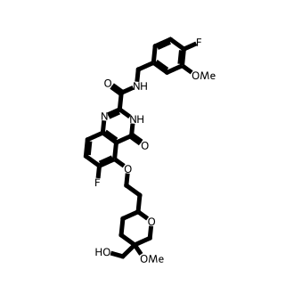 COc1cc(CNC(=O)c2nc3ccc(F)c(OCCC4CCC(CO)(OC)CO4)c3c(=O)[nH]2)ccc1F